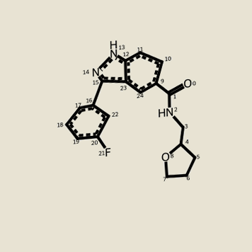 O=C(NCC1CCCO1)c1ccc2[nH]nc(-c3cccc(F)c3)c2c1